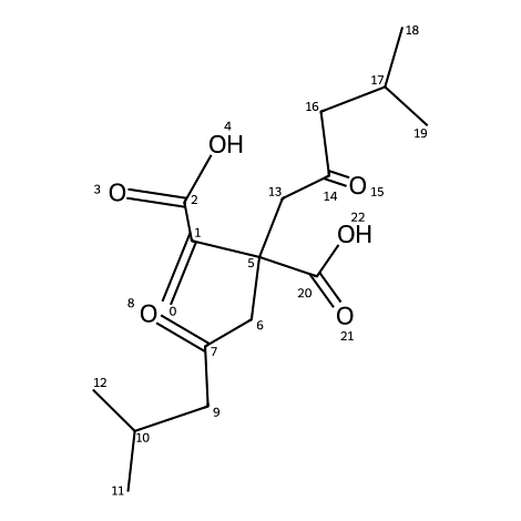 C=C(C(=O)O)C(CC(=O)CC(C)C)(CC(=O)CC(C)C)C(=O)O